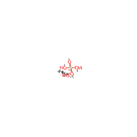 O=S(=O)(O)O.[Fe].[Na+].[OH-]